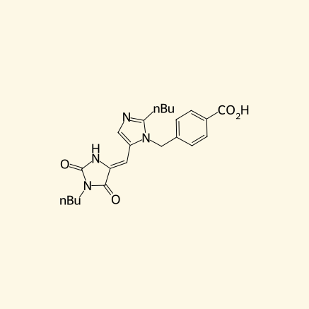 CCCCc1ncc(/C=C2\NC(=O)N(CCCC)C2=O)n1Cc1ccc(C(=O)O)cc1